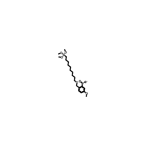 COc1ccc(COCCCCCCCCCC[Si](OC)(OC)OC)c([N+](=O)[O-])c1